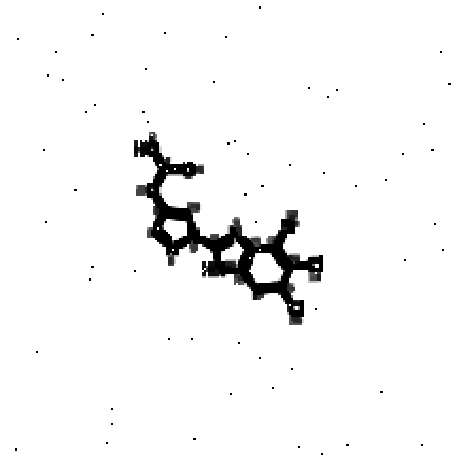 O=C(O)Oc1cnn(-c2nc3c(Br)c(Cl)c(Cl)cc3[nH]2)c1